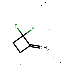 C=C1CCC1(F)F